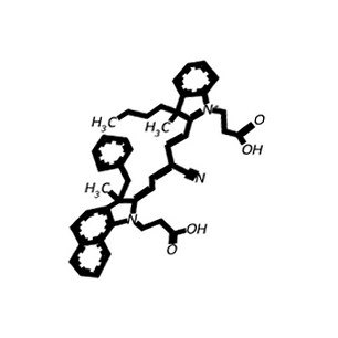 CCCCC1(C)C(/C=C/C(C#N)=C/C=C2/N(CCC(=O)O)c3c(ccc4ccccc34)C2(C)Cc2ccccc2)=[N+](CCC(=O)O)c2ccccc21